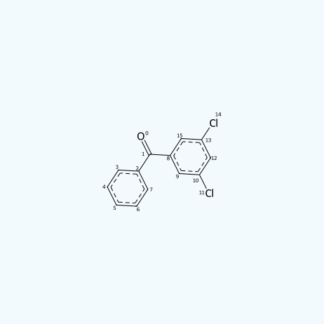 O=C(c1ccccc1)c1cc(Cl)cc(Cl)c1